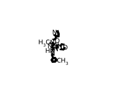 Cc1cccc(/C=N/Nc2nc(N3CCOCC3)nc3c2nc(C)n3CC(=O)c2cccnc2)c1